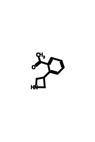 CC(=O)c1ccccc1C1CNC1